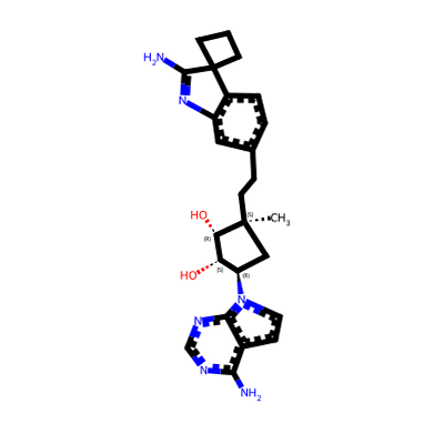 C[C@]1(CCc2ccc3c(c2)N=C(N)C32CCC2)C[C@@H](n2ccc3c(N)ncnc32)[C@H](O)[C@@H]1O